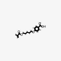 C=C(C)C(=O)OCCCCCOc1ccc(C(=O)O)cc1